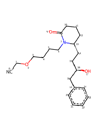 N#CCOCCCCN1C(=O)CCCC1CC[C@@H](O)Cc1ccccc1